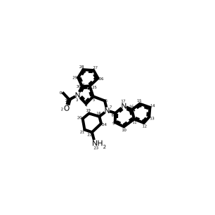 CC(=O)n1cc(CN(c2ccc3ccccc3n2)C2CCCC(N)C2)c2ccccc21